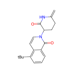 C=C1CCC(n2ccc3c(C(C)(C)C)cccc3c2=O)C(=O)N1